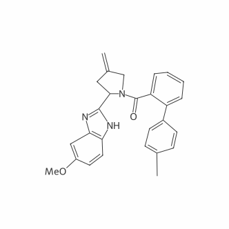 C=C1CC(c2nc3cc(OC)ccc3[nH]2)N(C(=O)c2ccccc2-c2ccc(C)cc2)C1